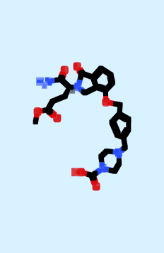 COC(=O)CC[C@@H](C(N)=O)N1Cc2c(OCc3ccc(CN4CCN(C(=O)O)CC4)cc3)cccc2C1=O